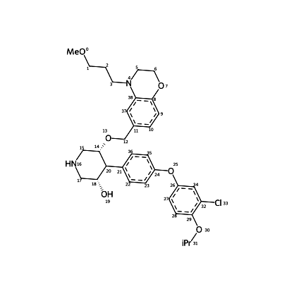 COCCCN1CCOc2ccc(CO[C@H]3CNC[C@@H](O)C3c3ccc(Oc4ccc(OC(C)C)c(Cl)c4)cc3)cc21